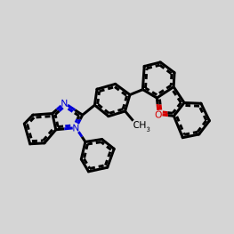 Cc1cc(-c2nc3ccccc3n2-c2ccccc2)ccc1-c1cccc2c1oc1ccccc12